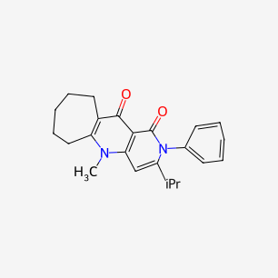 CC(C)c1cc2c(c(=O)c3c(n2C)CCCCC3)c(=O)n1-c1ccccc1